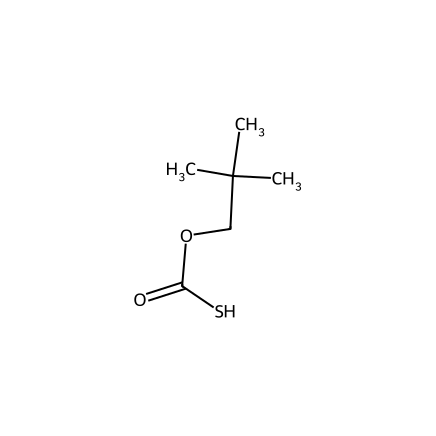 CC(C)(C)COC(=O)S